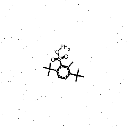 Cc1c(C(C)(C)C)ccc(C(C)(C)C)c1S(=O)(=O)OP